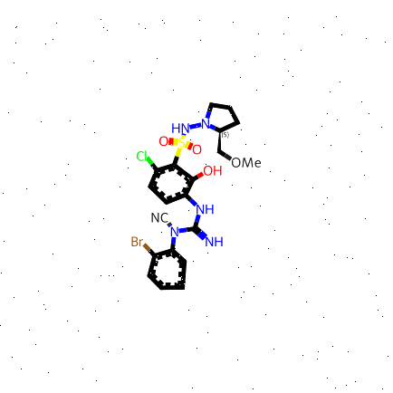 COC[C@@H]1CCCN1NS(=O)(=O)c1c(Cl)ccc(NC(=N)N(C#N)c2ccccc2Br)c1O